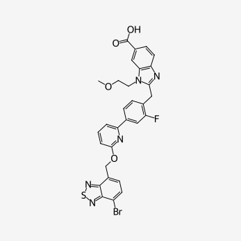 COCCn1c(Cc2ccc(-c3cccc(OCc4ccc(Br)c5nsnc45)n3)cc2F)nc2ccc(C(=O)O)cc21